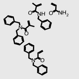 C=C(C)C(=O)N(Cc1ccccc1)Cc1ccccc1.C=C(C)C(=O)NCc1ccccc1.C=CC(=O)N(Cc1ccccc1)Cc1ccccc1.C=CC(N)=O